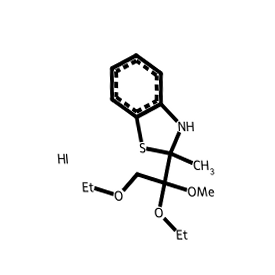 CCOCC(OC)(OCC)C1(C)Nc2ccccc2S1.I